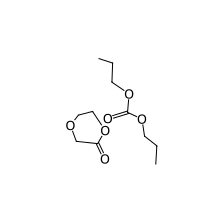 CCCOC(=O)OCCC.O=C1COCCO1